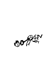 CC(C)C[C@H](NC(=O)c1ccc(N2CCOCC2)cc1)C(=O)NCC#N